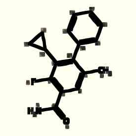 Cc1cc(C(N)=O)c(F)c(C2CC2)c1-c1ccccc1